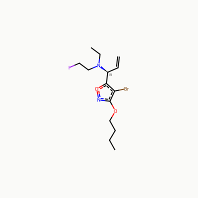 C=C[C@@H](c1onc(OCCCC)c1Br)N(CC)CCI